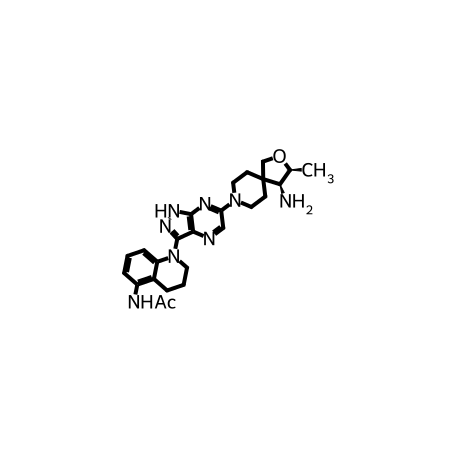 CC(=O)Nc1cccc2c1CCCN2c1n[nH]c2nc(N3CCC4(CC3)CO[C@@H](C)[C@H]4N)cnc12